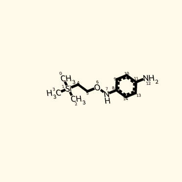 C[Si](C)(C)CCONc1ccc(N)cc1